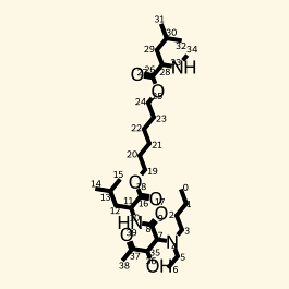 CCCCN(CC)C(C(=O)NC(CC(C)C)C(=O)OCCCCCCOC(=O)C(CC(C)C)NC)C(O)C(C)=O